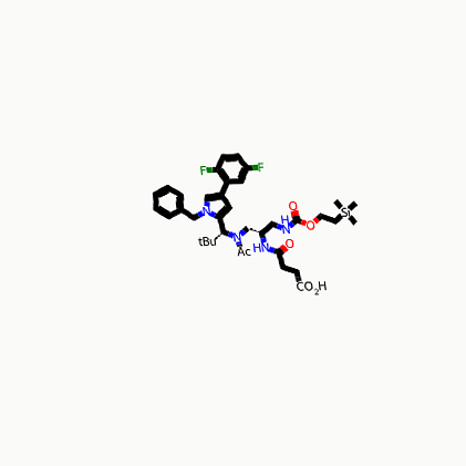 CC(=O)N(C[C@H](CNC(=O)OCC[Si](C)(C)C)NC(=O)CCC(=O)O)[C@@H](c1cc(-c2cc(F)ccc2F)cn1Cc1ccccc1)C(C)(C)C